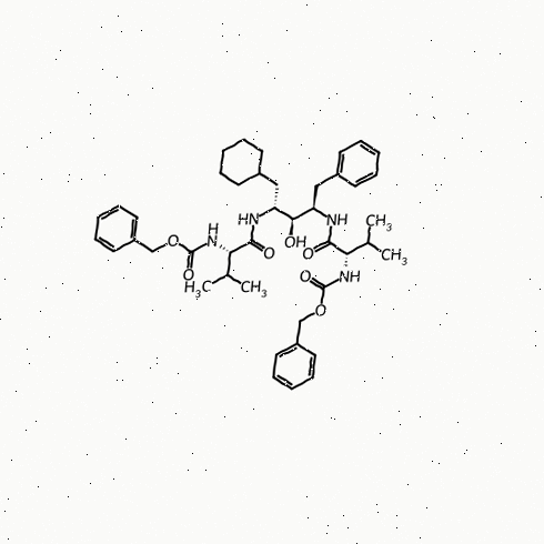 CC(C)[C@H](NC(=O)OCc1ccccc1)C(=O)N[C@H](Cc1ccccc1)[C@@H](O)[C@@H](CC1CCCCC1)NC(=O)[C@@H](NC(=O)OCc1ccccc1)C(C)C